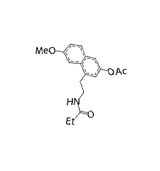 CCC(=O)NCCc1cc(OC(C)=O)cc2ccc(OC)cc12